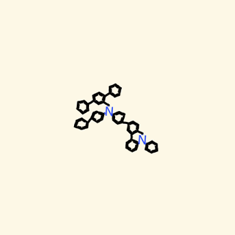 c1ccc(-c2ccc(N(Cc3cc(-c4ccccc4)ccc3-c3ccccc3)c3ccc(-c4ccc5c(c4)-c4ccccc4N(c4ccccc4)C5)cc3)cc2)cc1